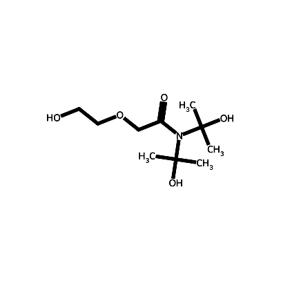 CC(C)(O)N(C(=O)COCCO)C(C)(C)O